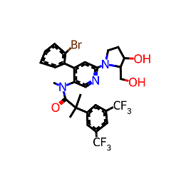 CN(C(=O)C(C)(C)c1cc(C(F)(F)F)cc(C(F)(F)F)c1)c1cnc(N2CCC(O)C2CO)cc1-c1ccccc1Br